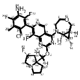 [2H]C([2H])(Oc1nc(N2CCOC[C@H]3[C@H](F)[C@H]32)c2cnc(-c3c(F)c(N)c(F)c(C)c3C(F)(F)F)c(F)c2n1)[C@@]12CCCN1C[C@H](F)C2